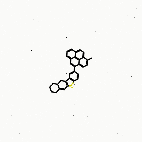 Cc1ccc2c(-c3ccc4sc5c(c4c3)CC3CCCCC3=C5)cc3cccc4ccc1c2c43